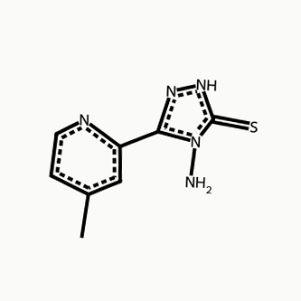 Cc1ccnc(-c2n[nH]c(=S)n2N)c1